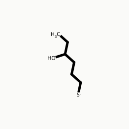 CCC(O)CCC[S]